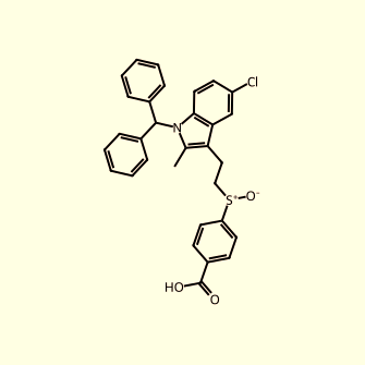 Cc1c(CC[S+]([O-])c2ccc(C(=O)O)cc2)c2cc(Cl)ccc2n1C(c1ccccc1)c1ccccc1